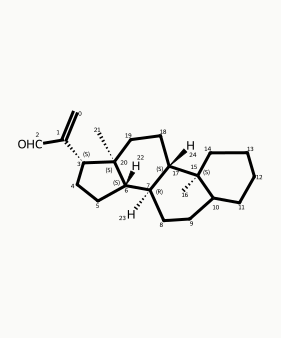 C=C(C=O)[C@H]1CC[C@H]2[C@@H]3CCC4CCCC[C@]4(C)[C@H]3CC[C@]12C